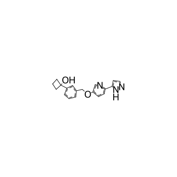 OC1(c2cccc(COc3ccc(-c4ccn[nH]4)nc3)c2)CCC1